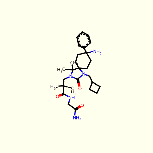 CC(C)(CN1C(=O)N(CC2CCC2)C2(CCC(N)(c3ccccc3)CC2)C1(C)C)C(=O)NCC(N)=O